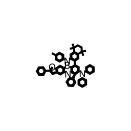 Cc1ccc(N2B3c4cc5oc(-c6ccccc6)cc5cc4-n4c5ccccc5c5c(N(c6ccccc6)c6ccccc6)cc(c3c54)-c3cc4c(cc32)C(C)(C)CCC4(C)C)cc1